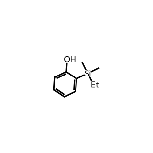 CC[Si](C)(C)c1ccccc1O